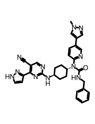 Cn1cc(-c2ccc(N(C(=O)NCc3ccccc3)[C@H]3CC[C@H](Nc4ncc(C#N)c(-c5cc[nH]n5)n4)CC3)nc2)cn1